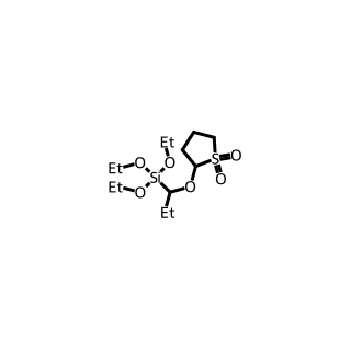 CCO[Si](OCC)(OCC)C(CC)OC1CCCS1(=O)=O